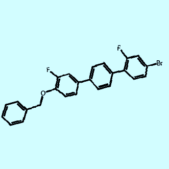 Fc1cc(-c2ccc(-c3ccc(Br)cc3F)cc2)ccc1OCc1ccccc1